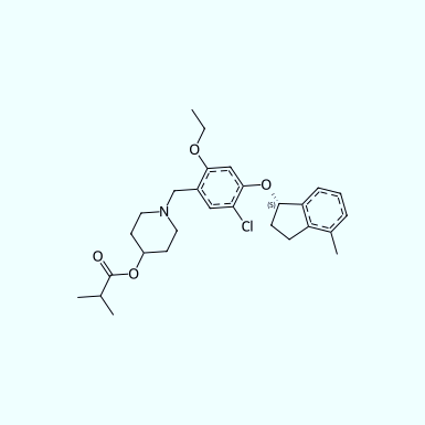 CCOc1cc(O[C@H]2CCc3c(C)cccc32)c(Cl)cc1CN1CCC(OC(=O)C(C)C)CC1